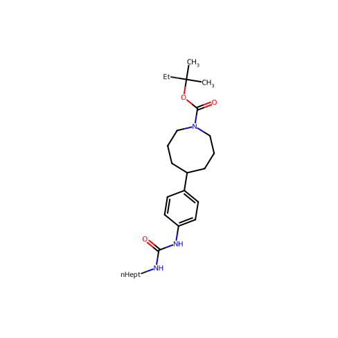 CCCCCCCNC(=O)Nc1ccc(C2CCCN(C(=O)OC(C)(C)CC)CCC2)cc1